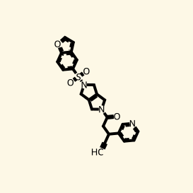 C#CC(CC(=O)N1CC2=C(C1)CN(S(=O)(=O)c1ccc3occc3c1)C2)c1cccnc1